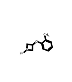 Cc1ccccc1OC1CN(C(C)C)C1